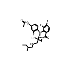 CC(=O)O.CCC(C)CNCC1(O)CN(C(=O)c2ccc(F)c(F)c2Nc2ccc(I)cc2F)C1